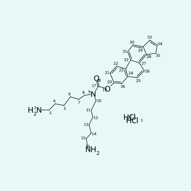 Cl.Cl.NCCCCCCN(CCCCCCN)C(=O)Oc1ccc2c(ccc3c4c(ccc32)C=CC4)c1